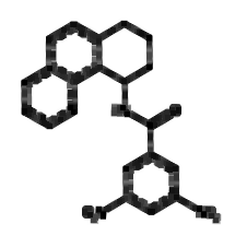 O=C(NC1CCCc2ccc3ccccc3c21)c1cc([N+](=O)[O-])cc([N+](=O)[O-])c1